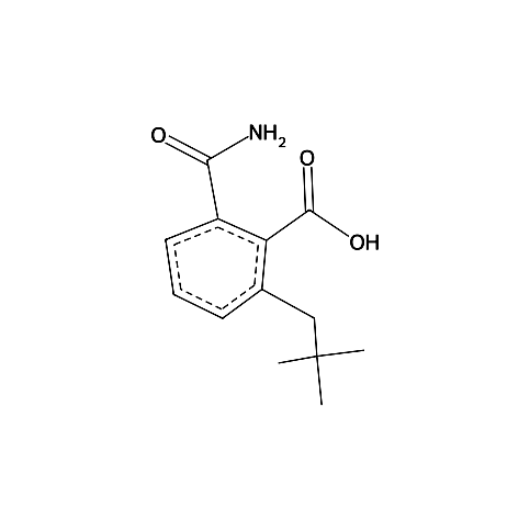 CC(C)(C)Cc1cccc(C(N)=O)c1C(=O)O